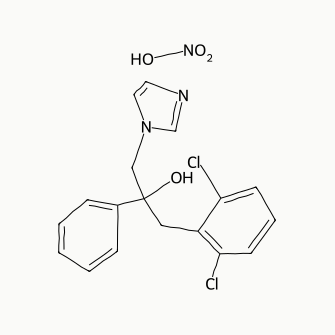 O=[N+]([O-])O.OC(Cc1c(Cl)cccc1Cl)(Cn1ccnc1)c1ccccc1